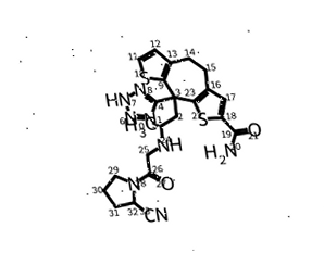 C[C@H](CC1(c2nn[nH]n2)c2sccc2CCc2cc(C(N)=O)sc21)NCC(=O)N1CCCC1C#N